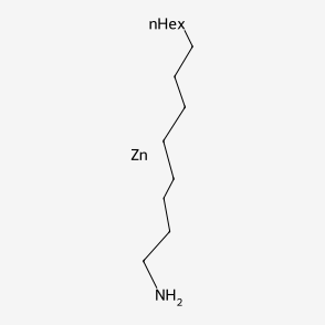 CCCCCCCCCCCCCCN.[Zn]